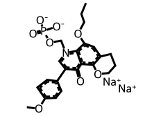 CCCOc1cc2c(c3c(=O)c(-c4ccc(OC)cc4)cn(COP(=O)([O-])[O-])c13)OCCC2.[Na+].[Na+]